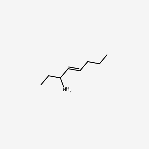 CCCC=CC(N)CC